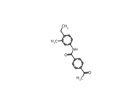 CCc1ccc(NC(=O)c2ccc(C(C)=O)cc2)cc1C